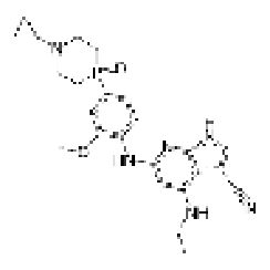 CCNc1cc(Nc2ccc(P3(=O)CCN(C4CC4)CC3)cc2OC)nc2[nH]cc(C#N)c12